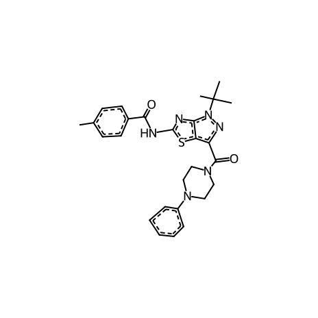 Cc1ccc(C(=O)Nc2nc3c(s2)c(C(=O)N2CCN(c4ccccc4)CC2)nn3C(C)(C)C)cc1